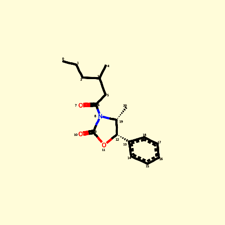 CCCC(C)CC(=O)N1C(=O)O[C@@H](c2ccccc2)[C@H]1C